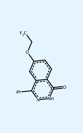 CC(C)c1n[nH]c(=O)c2ccc(OCC(F)(F)F)cc12